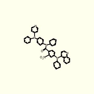 O=C(c1ccc(N(c2ccccc2)c2ccnc3ccccc23)cc1[N+](=O)[O-])N(c1ccccc1)c1ccc(N(c2ccccc2)c2ccncc2)cc1